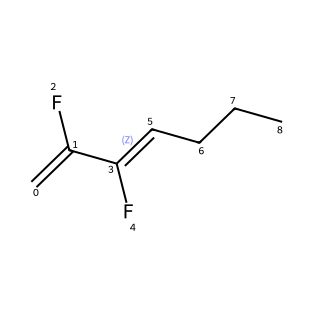 C=C(F)/C(F)=C/CCC